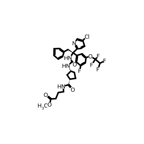 COC(=O)CCCNC(=O)[C@H]1CC[C@@H](NC(=O)N[C@@](Cc2ccccc2)(c2cc(F)cc(OC(F)(F)C(F)F)c2)c2ccc(Cl)cn2)C1